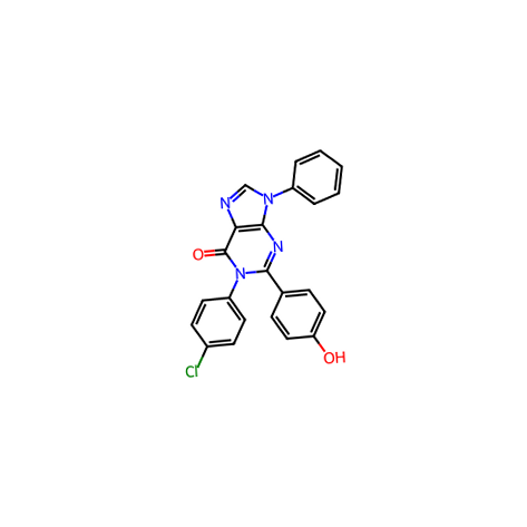 O=c1c2ncn(-c3ccccc3)c2nc(-c2ccc(O)cc2)n1-c1ccc(Cl)cc1